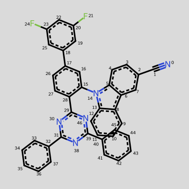 N#Cc1ccc2c(c1)c1ccccc1n2-c1cc(-c2cc(F)cc(F)c2)ccc1-c1nc(-c2ccccc2)nc(-c2ccccc2)n1